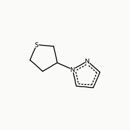 c1cnn(C2CCSC2)c1